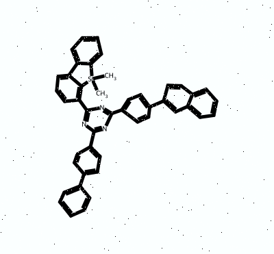 C[Si]1(C)c2ccccc2-c2cccc(-c3nc(-c4ccc(-c5ccccc5)cc4)nc(-c4ccc(-c5ccc6ccccc6c5)cc4)n3)c21